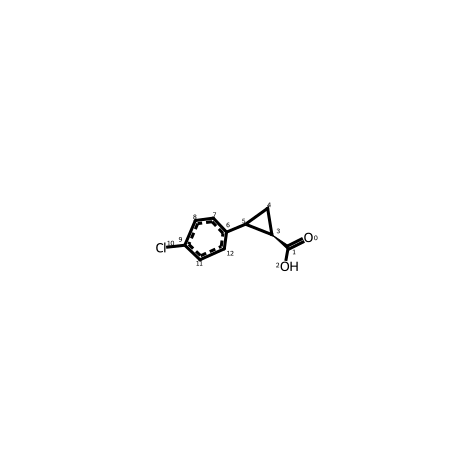 O=C(O)[C@@H]1CC1c1ccc(Cl)cc1